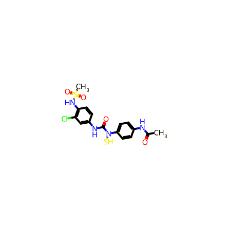 CC(=O)Nc1ccc(N(S)C(=O)Nc2ccc(NS(C)(=O)=O)c(Cl)c2)cc1